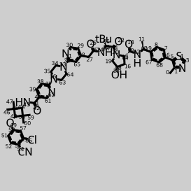 Cc1ncsc1-c1ccc([C@H](C)NC(=O)[C@@H]2C[C@@H](O)CN2C(=O)[C@@H](NC(=O)Cc2ccnc(N3CCN(c4ccc(C(=O)N[C@H]5C(C)(C)[C@H](Oc6ccc(C#N)c(Cl)c6)C5(C)C)cn4)CC3)c2)C(C)(C)C)cc1